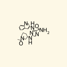 CC(=O)N1CCCC(Nc2cnc(C(N)=O)c(Nc3cnc4ccccc4c3)n2)C1